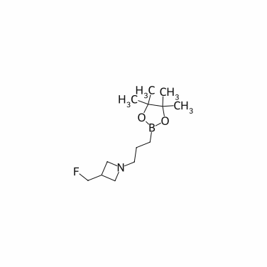 CC1(C)OB(CCCN2CC(CF)C2)OC1(C)C